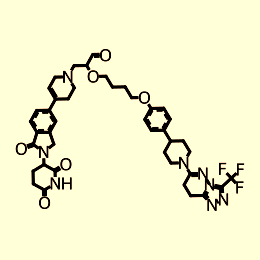 O=CC(CN1CC=C(c2ccc3c(c2)CN(C2CCC(=O)NC2=O)C3=O)CC1)OCCCCOc1ccc(C2CCN(C3=Nn4c(nnc4C(F)(F)F)CC3)CC2)cc1